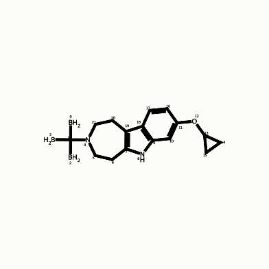 BC(B)(B)N1CCc2[nH]c3cc(OC4CC4)ccc3c2CC1